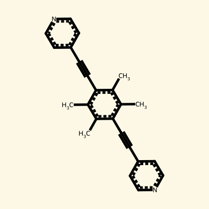 Cc1c(C)c(C#Cc2ccncc2)c(C)c(C)c1C#Cc1ccncc1